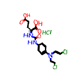 Cl.O=C(O)CC[C@H](NC(=O)Nc1ccc(N(CCCl)CCCl)cc1)C(=O)O